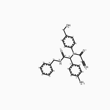 C#CC(=O)N(c1ccc(CO)cc1)C(C(=O)NCc1ccccc1)c1ccc(N)cc1